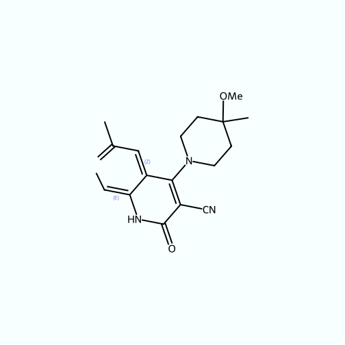 C=C(C)/C=c1/c(N2CCC(C)(OC)CC2)c(C#N)c(=O)[nH]/c1=C/C